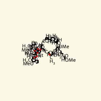 C=C1[C@H](C)C[C@@H]2CC[C@@H]3O[C@@H](CC[C@@]45C[C@H]6OC7C(O[C@H]8CC[C@H](CC(=O)C[C@@H]9[C@@H](OC)[C@@H](C[C@H](O)CNC(=O)COC)O[C@H]9C[C@H]1O2)O[C@@H]8[C@@H]7O4)[C@H]6O5)C/C3=C/C[C@@H](CC)[C@@H]([C@@H](CC(=O)N1CCC[C@@H]1[C@H](OC)[C@@H](C)C(=O)N[C@H](C)[C@@H](O)c1ccccc1)OC)N(C)C(=O)[C@@H](NC(=O)[C@H](C(C)C)N(C)C(=O)OC)C(C)C